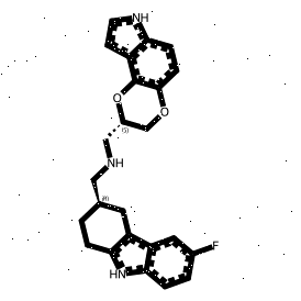 Fc1ccc2[nH]c3c(c2c1)C[C@H](CNC[C@H]1COc2ccc4[nH]ccc4c2O1)CC3